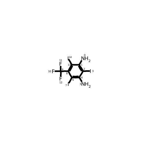 Nc1c(I)c(N)c(I)c(C(F)(F)F)c1I